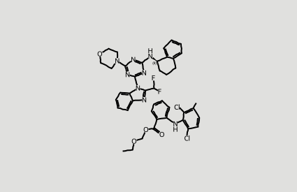 CCOCOC(=O)c1ccccc1Nc1c(Cl)ccc(C)c1Cl.FC(F)c1nc2ccccc2n1-c1nc(N[C@@H]2CCCc3ccccc32)nc(N2CCOCC2)n1